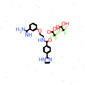 N=C(N)c1cccc(OCCNC(=O)c2ccc(-c3ncc[nH]3)cc2)c1.O=C(O)C(F)(F)F.O=C(O)C(F)(F)F